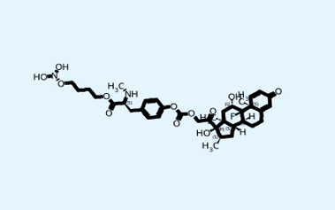 CN[C@@H](Cc1ccc(OC(=O)OCC(=O)[C@@]2(O)[C@@H](C)C[C@H]3[C@@H]4CCC5=CC(=O)C=C[C@]5(C)[C@@]4(F)[C@@H](O)C[C@@]32C)cc1)C(=O)OCCCCON(O)O